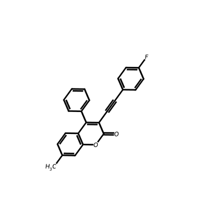 Cc1ccc2c(-c3ccccc3)c(C#Cc3ccc(F)cc3)c(=O)oc2c1